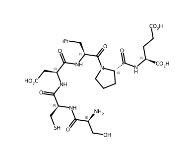 CC(C)C[C@H](NC(=O)[C@H](CC(=O)O)NC(=O)[C@H](CS)NC(=O)[C@@H](N)CO)C(=O)N1CCC[C@H]1C(=O)N[C@@H](CCC(=O)O)C(=O)O